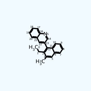 CCc1c(C)cc2ccccc2c1-c1cnc2ccccc2c1